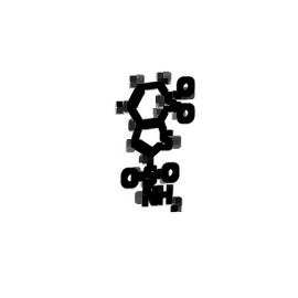 NS(=O)(=O)c1cc2c(s1)S(=O)(=O)CC=C2